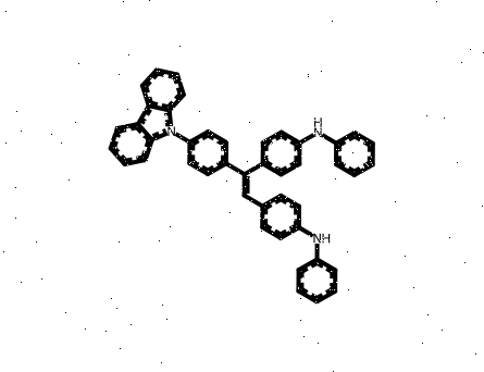 C(=C(c1ccc(Nc2ccccc2)cc1)c1ccc(-n2c3ccccc3c3ccccc32)cc1)c1ccc(Nc2ccccc2)cc1